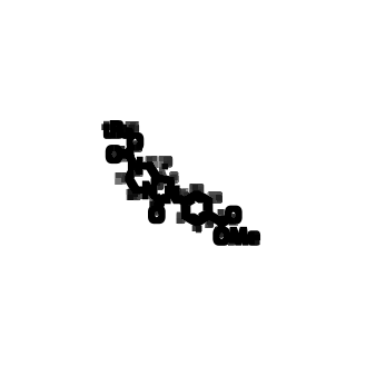 COC(=O)c1ccc(N2C[C@]3(C)CN(C(=O)OC(C)(C)C)CCN3C2=O)cc1